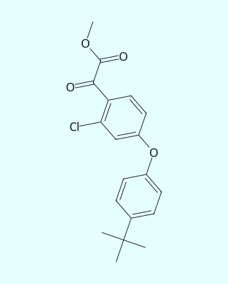 COC(=O)C(=O)c1ccc(Oc2ccc(C(C)(C)C)cc2)cc1Cl